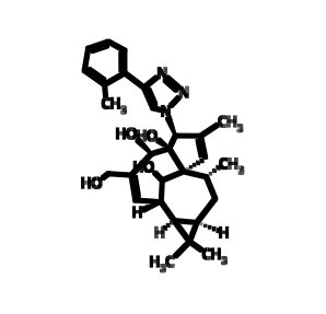 CC1=C[C@]23C(O)[C@@H](C=C(CO)[C@@H](O)[C@]2(O)[C@H]1n1cc(-c2ccccc2C)nn1)[C@H]1[C@@H](C[C@H]3C)C1(C)C